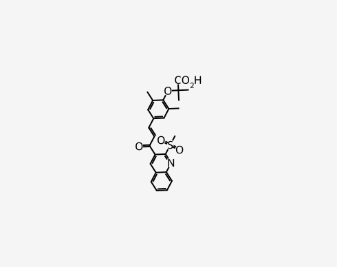 Cc1cc(/C=C/C(=O)c2cc3ccccc3nc2S(C)(=O)=O)cc(C)c1OC(C)(C)C(=O)O